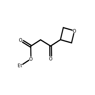 CCOC(=O)CC(=O)C1COC1